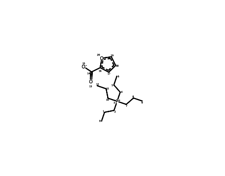 CCC[P+](CCC)(CCC)CCC.O=C([O-])c1ccco1